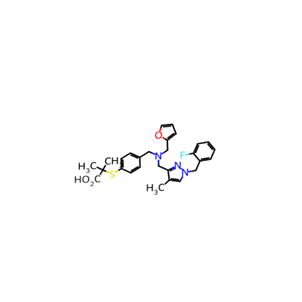 Cc1cn(Cc2ccccc2F)nc1CN(Cc1ccc(SC(C)(C)C(=O)O)cc1)Cc1ccco1